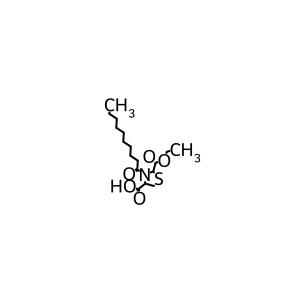 CCCCCCCCCC(=O)N1C(C(=O)O)CSC1C(=O)OCC